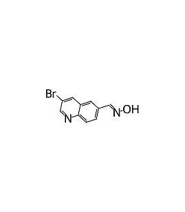 ON=Cc1ccc2ncc(Br)cc2c1